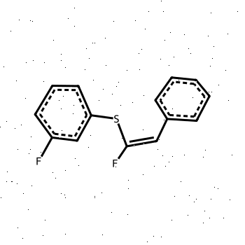 FC(=Cc1ccccc1)Sc1cccc(F)c1